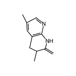 C=C1Nc2ncc(C)cc2CC1C